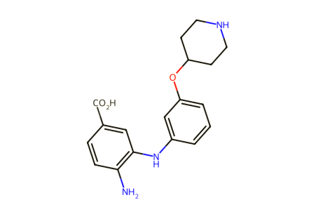 Nc1ccc(C(=O)O)cc1Nc1cccc(OC2CCNCC2)c1